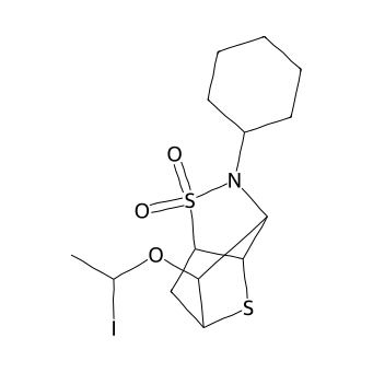 CC(I)OC1C2CC3C(S2)C1N(C1CCCCC1)S3(=O)=O